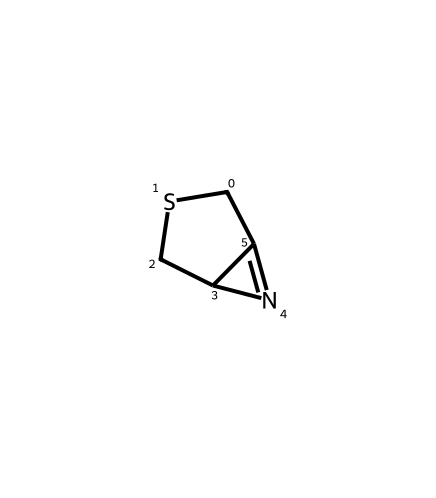 C1SCC2N=C12